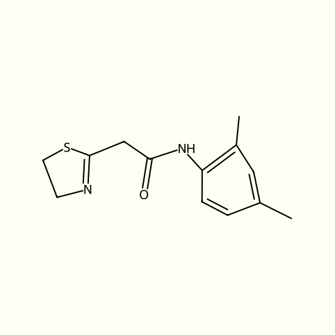 Cc1ccc(NC(=O)CC2=NCCS2)c(C)c1